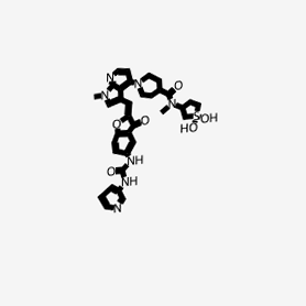 CN(C(=O)C1CCN(c2ccnc3c2c(C=C2Oc4ccc(NC(=O)Nc5cccnc5)cc4C2=O)cn3C)CC1)C1CCS(O)(O)C1